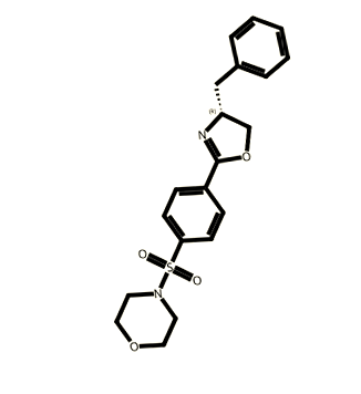 O=S(=O)(c1ccc(C2=N[C@H](Cc3ccccc3)CO2)cc1)N1CCOCC1